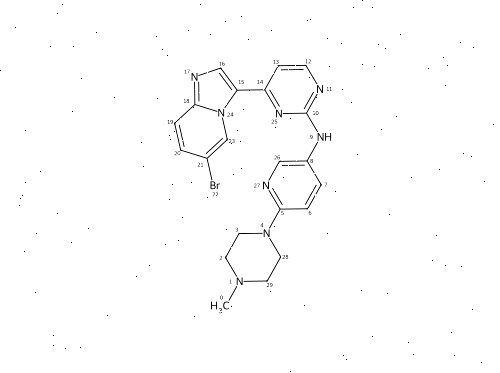 CN1CCN(c2ccc(Nc3nccc(-c4cnc5ccc(Br)cn45)n3)cn2)CC1